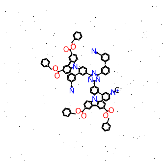 [C-]#[N+]c1cccc(-c2cc(-c3nc(-c4cccc(-c5cccc(C#N)c5)c4)nc(-c4ccc(-n5c6ccc(C(=O)OCc7ccccc7)cc6c6cc(C(=O)OCc7ccccc7)ccc65)c(-c5cccc(C#N)c5)c4)n3)ccc2-n2c3ccc(C(=O)OCc4ccccc4)cc3c3cc(C(=O)OCc4ccccc4)ccc32)c1